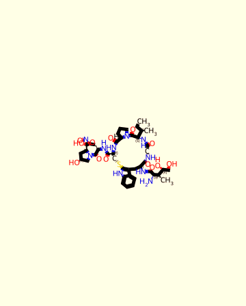 CC[C@H](C)[C@@H]1NC(=O)CNC(=O)[C@@H](NC(=O)[C@@H](N)[C@@H](C)[C@@H](O)CO)Cc2c([nH]c3ccccc23)SC[C@@H](C(=O)N[C@@H](CCN=O)C(=O)N2C[C@H](O)C[C@H]2C(=O)O)NC(=O)[C@H]2CCCN2C1=O